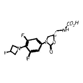 O=C(O)NC[C@H]1CN(c2cc(F)c(N3CC(F)C3)c(F)c2)C(=O)O1